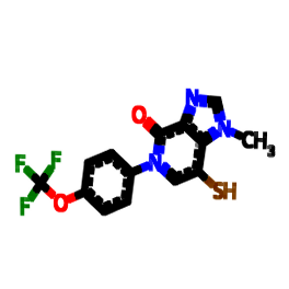 Cn1cnc2c(=O)n(-c3ccc(OC(F)(F)F)cc3)cc(S)c21